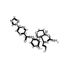 NC1=N[C@](/C=C/F)(c2cc(NC(=O)c3cnc(-n4cncn4)cn3)ccc2F)[C@H]2COCC[C@H]2O1